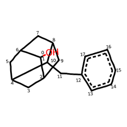 OC1C2CC3CC1CC(C2)C3Cc1ccccc1